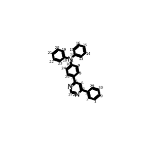 c1ccc(-c2cc(-c3ccc(N(c4ccccc4)c4ccccc4)cc3)ncn2)cc1